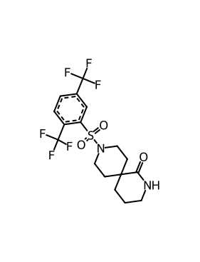 O=C1NCCCC12CCN(S(=O)(=O)c1cc(C(F)(F)F)ccc1C(F)(F)F)CC2